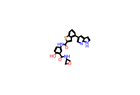 O=C(Nc1ccc(O)c(C(=O)NC2COC2)c1)c1cc2c(-c3cnc4[nH]ccc4c3)cccc2s1